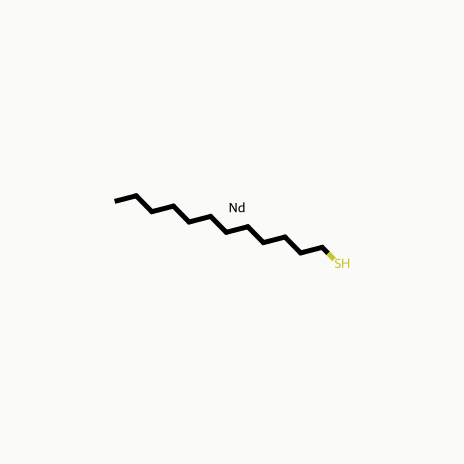 CCCCCCCCCCCCS.[Nd]